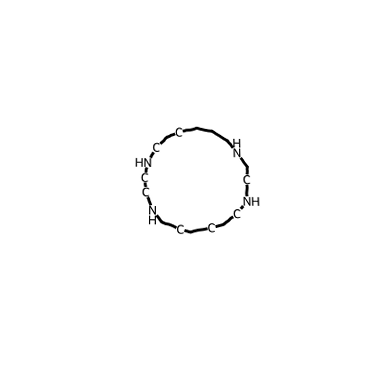 C1CCCNCCNCCCCCCNCCNCC1